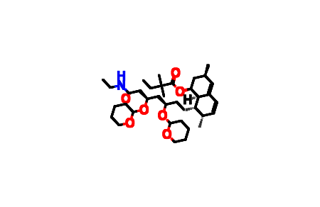 CCNC(=O)C[C@@H](C[C@@H](CC[C@@H]1[C@@H]2C(=C[C@H](C)C[C@@H]2OC(=O)C(C)(C)CC)C=C[C@@H]1C)OC1CCCCO1)OC1CCCCO1